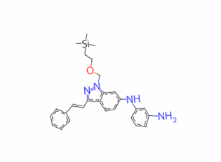 C[Si](C)(C)CCOCn1nc(C=Cc2ccccc2)c2ccc(Nc3cccc(N)c3)cc21